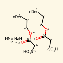 CCCCCCCCCCCCOC(=O)CS(=O)(=O)O.CCCCCCCCCCCCOC(=O)CS(=O)(=O)O.[NaH].[NaH]